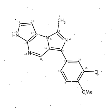 COc1ccc(-c2nc(C)n3c2cnc2[nH]ccc23)cc1Cl